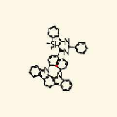 C[Si]1(C)c2ccccc2-c2nc(-c3ccccc3)nc(-c3ccc(-n4c5ccccc5c5ccc6c7ccccc7n(-c7ccccc7)c6c54)cc3)c21